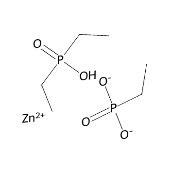 CCP(=O)(O)CC.CCP(=O)([O-])[O-].[Zn+2]